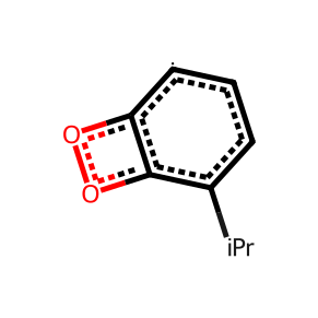 CC(C)c1cc[c]c2ooc12